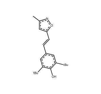 Cc1cc(C=Cc2cc(C(C)(C)C)c(O)c(C(C)(C)C)c2)on1